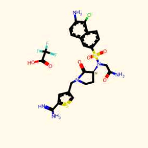 N=C(N)c1cc(CN2CC[C@H](N(CC(N)=O)S(=O)(=O)c3ccc4c(Cl)c(N)ccc4c3)C2=O)cs1.O=C(O)C(F)(F)F